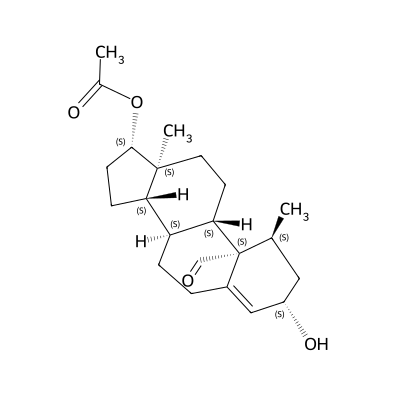 CC(=O)O[C@H]1CC[C@H]2[C@@H]3CCC4=C[C@@H](O)C[C@H](C)[C@]4(C=O)[C@H]3CC[C@]12C